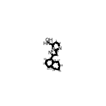 ONc1ccnc2cc(-c3cccc4ccccc34)nn12